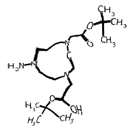 CC(C)(C)OC(=O)CN1CCN(N)CCN(CC(O)OC(C)(C)C)CC1